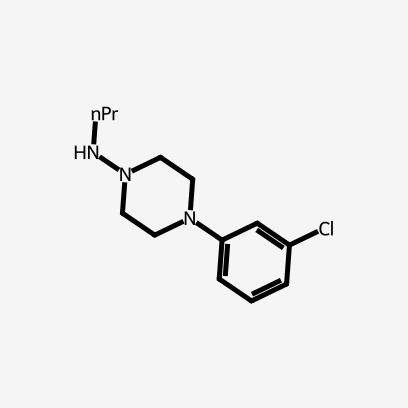 CCCNN1CCN(c2cccc(Cl)c2)CC1